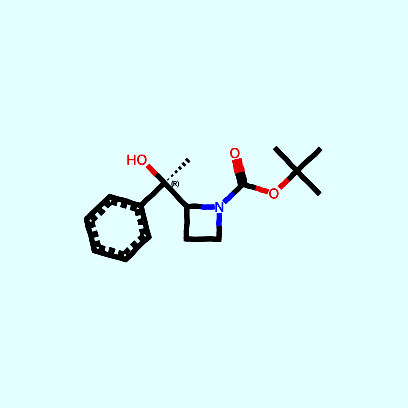 CC(C)(C)OC(=O)N1CCC1[C@](C)(O)c1ccccc1